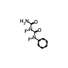 NC(=O)N(F)C(=O)N(F)c1ccccc1